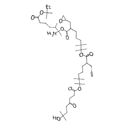 C#CCC(CCCC(C)(C)C(C)(C)OC(=O)CCC(=O)CCC(C)(C)O)C(=O)OC(C)(C)C(C)(C)CCCC(CC1CO1)C(=O)OC(C)(N)C(C)CCCC(=O)OC(C)(C)CC